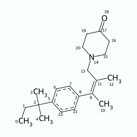 CCC(C)(C)c1ccc(C(C)=C(C)CN2CCC(=O)CC2)cc1